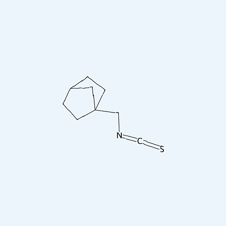 S=C=NCC12CCC(CC1)C2